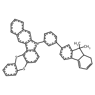 CC1(C)c2cc(-c3cccc(-n4c5cc6ccccc6cc5c5c6c(ccc54)Sc4ccccc4S6)c3)ccc2C2=CC=CCC21